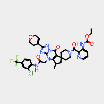 CCOC(=O)Nc1cccnc1C(=O)N1CCC2(CC1)CC(C)c1c2c(=O)n2nc(C3=CCOCC3)nc2n1CC(=O)Nc1ccc(C(F)(F)F)cc1Cl